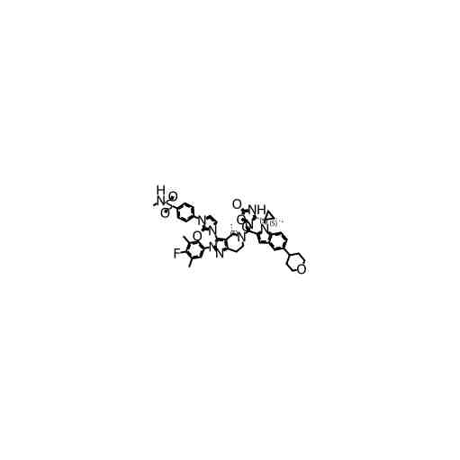 CNS(=O)(=O)c1ccc(-n2ccn(-c3c4c(nn3-c3cc(C)c(F)c(C)c3)CCN(C(=O)c3cc5cc(C6CCOCC6)ccc5n3[C@@]3(c5noc(=O)[nH]5)C[C@@H]3C)[C@H]4C)c2=O)cc1